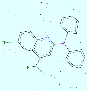 FC(F)c1cc(P(c2ccccc2)c2ccccc2)nc2ccc(Cl)cc12